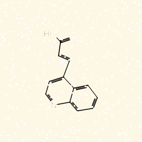 O=C(O)/C=C/c1ccnc2ccccc12